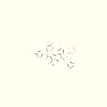 CN1CCc2cc(N(C(=O)c3cc(-c4cc(F)ccc4C(=O)N4Cc5ccccc5C[C@H]4CN4CCOCC4)n(C)c3C(F)F)c3ccc(O)cc3)cnc21